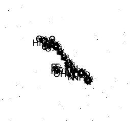 Nc1ncnc2c1c(-c1ccc(Oc3ccccc3)cc1)nn2C1CCN(C2CN(C3CN(c4ccc5c(c4)C(=O)N(C4CCC(=O)NC4=O)C5=O)C3)C2)CC1F.O=C(O)C(F)(F)F